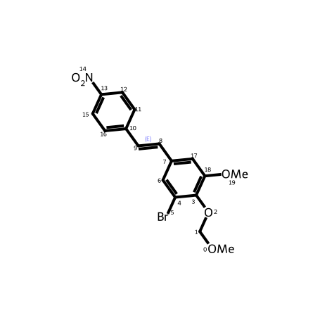 COCOc1c(Br)cc(/C=C/c2ccc([N+](=O)[O-])cc2)cc1OC